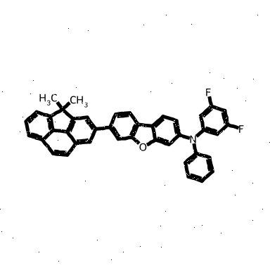 CC1(C)c2cccc3ccc4cc(-c5ccc6c(c5)oc5cc(N(c7ccccc7)c7cc(F)cc(F)c7)ccc56)cc1c4c23